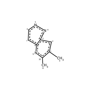 Cc1cc2nnccc2nc1C